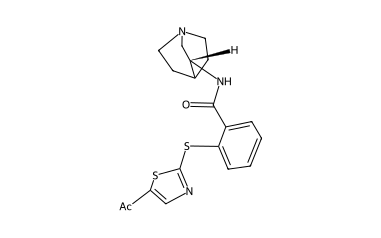 CC(=O)c1cnc(Sc2ccccc2C(=O)N[C@H]2CN3CCC2CC3)s1